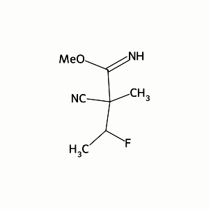 COC(=N)C(C)(C#N)C(C)F